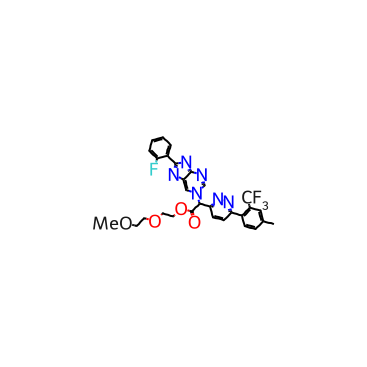 COCCOCCOC(=O)C(c1ccc(-c2ccc(C)cc2C(F)(F)F)nn1)n1cnc2nc(-c3ccccc3F)nc-2c1